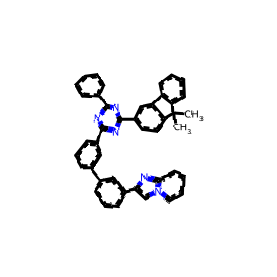 CC1(C)c2ccccc2-c2cc(-c3nc(-c4ccccc4)nc(-c4cccc(-c5cccc(-c6cn7ccccc7n6)c5)c4)n3)ccc21